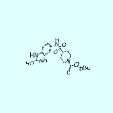 CC(C)(C)OC(=O)N1CCC(S(=O)(=O)Nc2ccc3c(c2)NC(O)N3)CC1